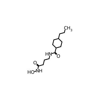 CCCC1CCC(C(=O)NCCCC(=O)NO)CC1